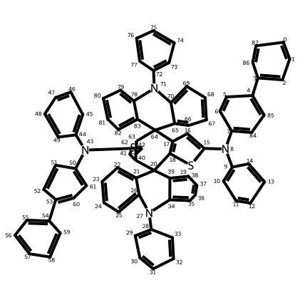 c1ccc(-c2ccc(N(c3ccccc3)c3cc4c(s3)C3(c5ccccc5N(c5ccccc5)c5ccccc53)c3cc(N(c5ccccc5)c5ccc(-c6ccccc6)cc5)sc3C43c4ccccc4N(c4ccccc4)c4ccccc43)cc2)cc1